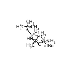 C=C[Si](C)(NCC[Si](C)(C)C)O[Si](C)(C)C(C)(C)C